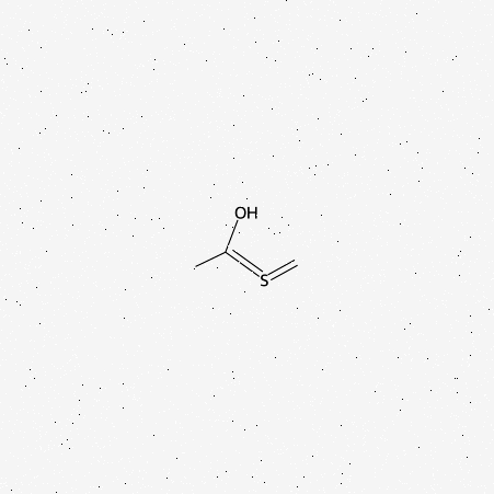 C=S=C(C)O